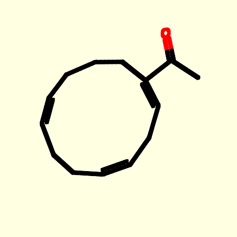 CC(=O)C1=CCC=CCCC=CCCC1